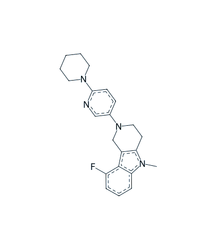 Cn1c2c(c3c(F)cccc31)CN(c1ccc(N3CCCCC3)nc1)CC2